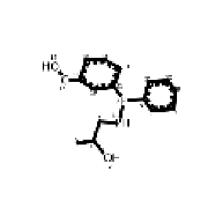 CC(O)CPP(c1ccccc1)c1cccc(OO)c1